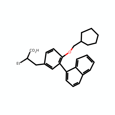 CCC(Cc1ccc(OCC2CCCCC2)c(-c2cccc3ccccc23)c1)C(=O)O